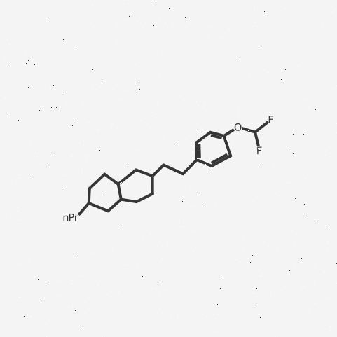 CCCC1CCC2CC(CCc3ccc(OC(F)F)cc3)CCC2C1